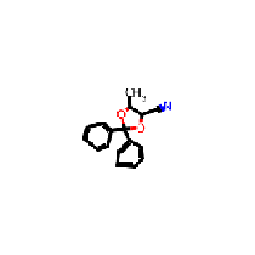 CC1OC(c2ccccc2)(c2ccccc2)OC1C#N